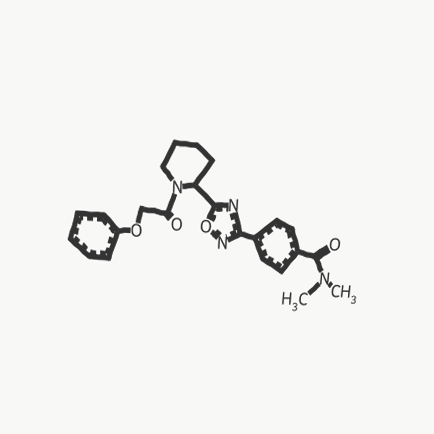 CN(C)C(=O)c1ccc(-c2noc(C3CCCCN3C(=O)COc3ccccc3)n2)cc1